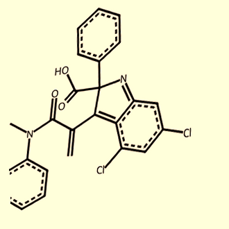 C=C(C(=O)N(C)c1ccccc1)C1=c2c(Cl)cc(Cl)cc2=NC1(C(=O)O)c1ccccc1